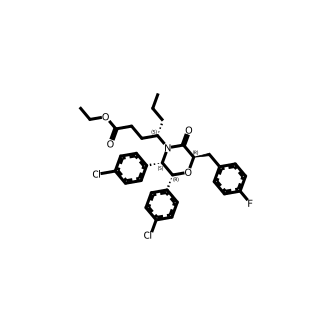 CCC[C@@H](CCC(=O)OCC)N1C(=O)[C@@H](Cc2ccc(F)cc2)O[C@H](c2ccc(Cl)cc2)[C@@H]1c1ccc(Cl)cc1